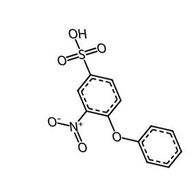 O=[N+]([O-])c1cc(S(=O)(=O)O)ccc1Oc1ccccc1